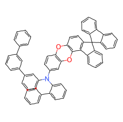 c1ccc(-c2cccc(-c3cccc(N(c4ccc5c(c4)Oc4c(ccc6c4-c4ccccc4C64c6ccccc6-c6ccccc64)O5)c4ccccc4-c4ccccc4)c3)c2)cc1